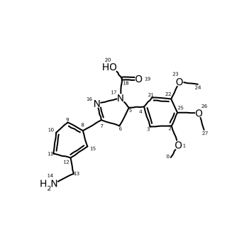 COc1cc(C2CC(c3cccc(CN)c3)=NN2C(=O)O)cc(OC)c1OC